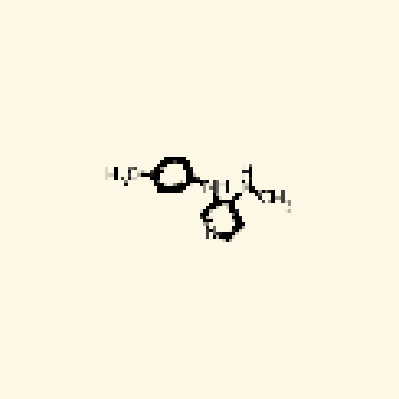 CNc1ccncc1Nc1ccc(C)cc1